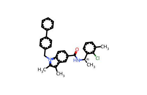 Cc1cccc([C@@H](C)NC(=O)c2ccc3c(c2)c(C)c(C)n3Cc2ccc(-c3ccccc3)cc2)c1Cl